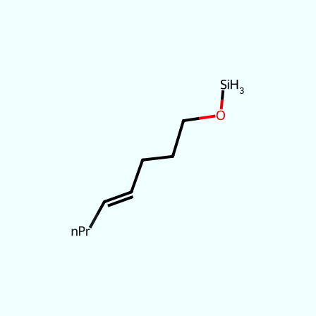 CCCC=CCCCO[SiH3]